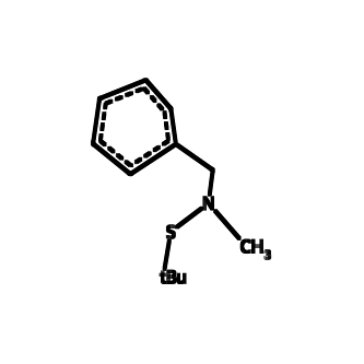 CN(Cc1ccccc1)SC(C)(C)C